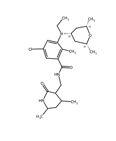 CCN(c1cc(Cl)cc(C(=O)NCC2C(=O)NC(C)CC2C)c1C)[C@H]1C[C@@H](C)O[C@@H](C)C1